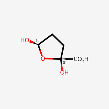 O=C(O)[C@]1(O)CC[C@H](O)O1